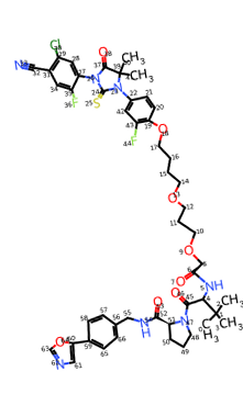 CC(C)(C)C(NC(=O)COCCCOCCCCOc1ccc(N2C(=S)N(c3cc(Cl)c(C#N)cc3F)C(=O)C2(C)C)cc1F)C(=O)N1CCC[C@H]1C(=O)NCc1ccc(-c2cnco2)cc1